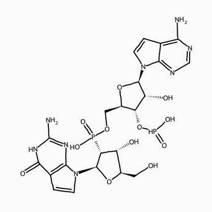 Nc1nc2c(ccn2[C@@H]2O[C@H](CO)[C@@H](O)[C@H]2P(=O)(O)OC[C@H]2O[C@@H](n3ccc4c(N)ncnc43)[C@H](O)[C@@H]2O[PH](=O)O)c(=O)[nH]1